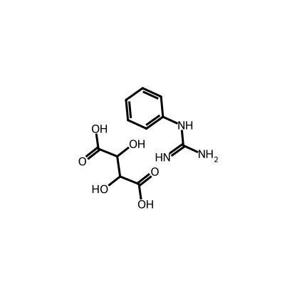 N=C(N)Nc1ccccc1.O=C(O)C(O)C(O)C(=O)O